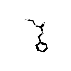 N#CCSC(=S)SCc1ccccc1